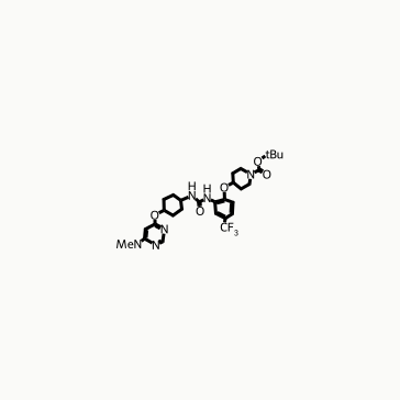 CNc1cc(OC2CCC(NC(=O)Nc3cc(C(F)(F)F)ccc3OC3CCN(C(=O)OC(C)(C)C)CC3)CC2)ncn1